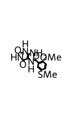 COc1ccc(SC)cc1C(=O)Nc1c(N)[nH]c(=O)[nH]c1=O